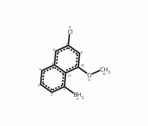 Bc1cccc2cc(Cl)cc(OC)c12